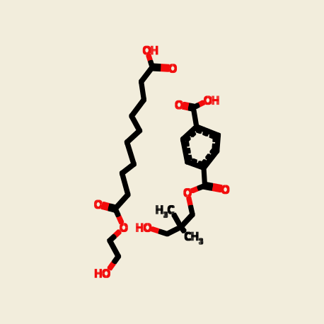 CC(C)(CO)COC(=O)c1ccc(C(=O)O)cc1.O=C(O)CCCCCCCCC(=O)OCCO